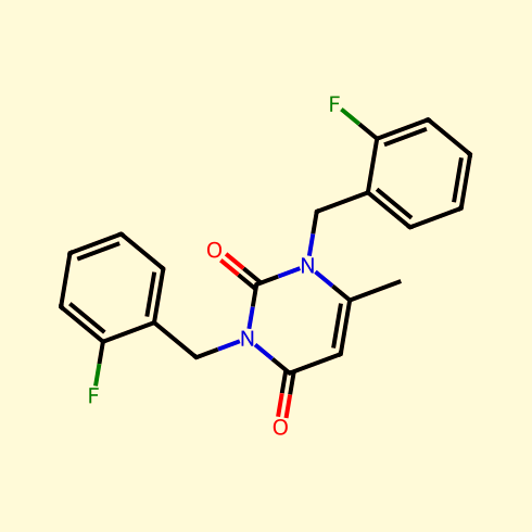 Cc1cc(=O)n(Cc2ccccc2F)c(=O)n1Cc1ccccc1F